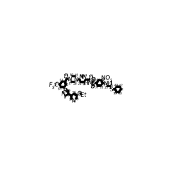 CCOc1cncc(-c2cnn(-c3cc(C(=O)N4CCN(c5ccc(C(=O)NS(=O)(=O)c6ccc(NCCSc7ccccc7)c([N+](=O)[O-])c6)nn5)CC4)cc(C(F)(F)F)c3)c2)c1